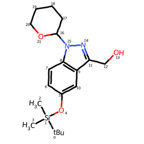 CC(C)(C)[Si](C)(C)Oc1ccc2c(c1)c(CO)nn2C1CCCCO1